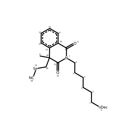 CCCCCCCCCCCCCCCCN1C(=O)c2ccccc2C(C)(C[Se]C#N)C1=O